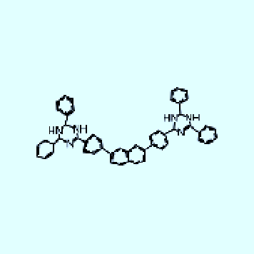 C1=CCC(C2N=C(c3ccc(-c4ccc5ccc(-c6ccc(C7N=C(c8ccccc8)NC(c8ccccc8)N7)cc6)cc5c4)cc3)NC(c3ccccc3)N2)C=C1